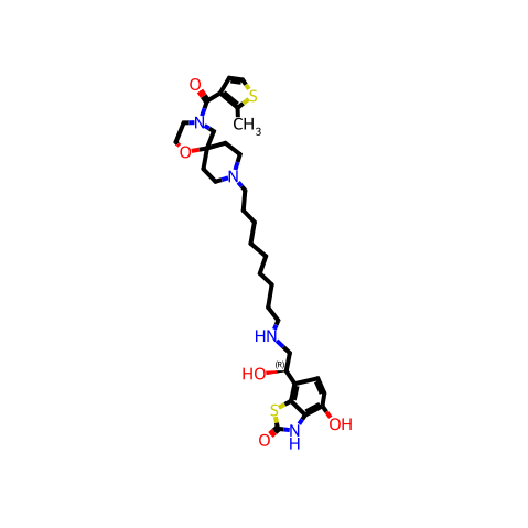 Cc1sccc1C(=O)N1CCOC2(CCN(CCCCCCCCCNC[C@H](O)c3ccc(O)c4[nH]c(=O)sc34)CC2)C1